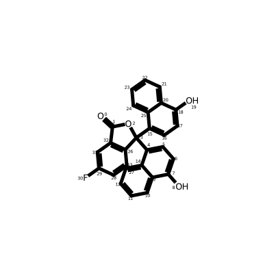 O=C1OC(c2ccc(O)c3ccccc23)(c2ccc(O)c3ccccc23)c2ccc(F)cc21